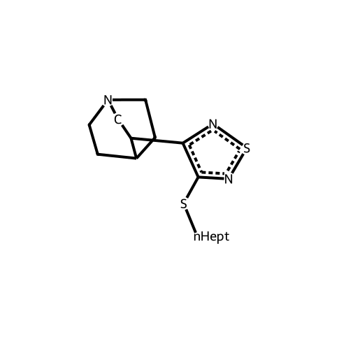 CCCCCCCSc1nsnc1C1CN2CCC1CC2